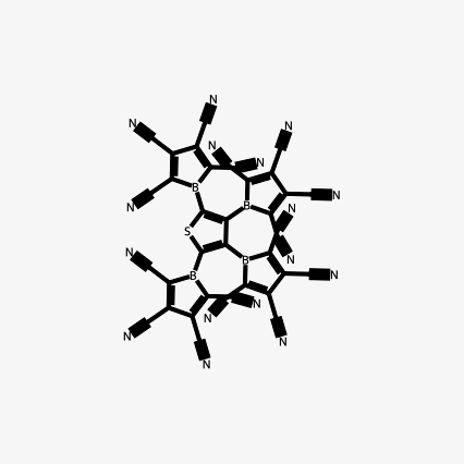 N#CC1=C(C#N)C(C#N)=C(C#N)B1c1sc(B2C(C#N)=C(C#N)C(C#N)=C2C#N)c(B2C(C#N)=C(C#N)C(C#N)=C2C#N)c1B1C(C#N)=C(C#N)C(C#N)=C1C#N